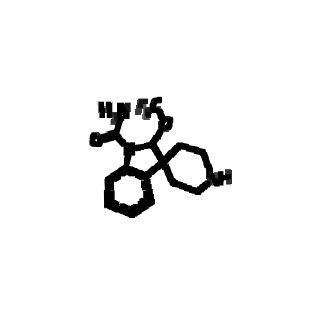 NC(=O)N1c2ccccc2C2(CCNCC2)C1OC(F)(F)F